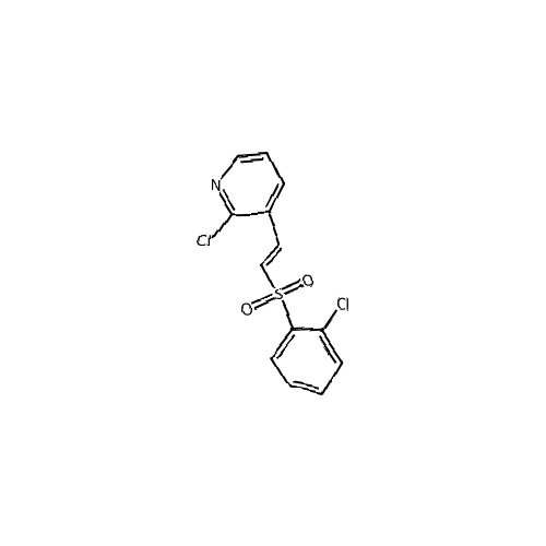 O=S(=O)(C=Cc1cccnc1Cl)c1ccccc1Cl